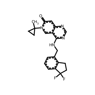 CC1(n2cc3c(NCc4cccc5c4CCC5(F)F)ncnc3cc2=O)CC1